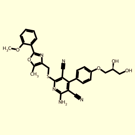 COc1ccccc1-c1nc(CSc2nc(N)c(C#N)c(-c3ccc(OC[C@@H](O)CO)cc3)c2C#N)c(C)o1